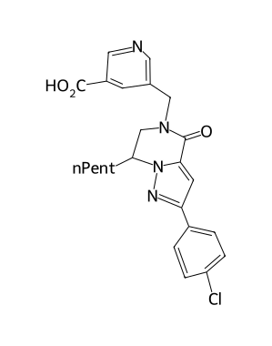 CCCCCC1CN(Cc2cncc(C(=O)O)c2)C(=O)c2cc(-c3ccc(Cl)cc3)nn21